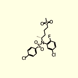 C[C@H](CCCS(C)(=O)=O)N(c1cc(Cl)ccc1F)S(=O)(=O)c1ccc(Cl)cc1